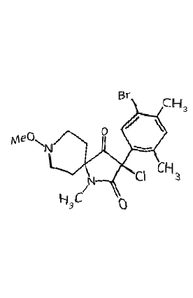 CON1CCC2(CC1)C(=O)C(Cl)(c1cc(Br)c(C)cc1C)C(=O)N2C